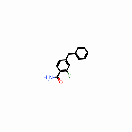 NC(=O)c1ccc(Cc2ccccc2)cc1Cl